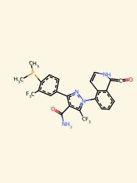 CP(C)c1ccc(-c2nn(-c3cccc4c3C=CNC4=C=O)c(C(F)(F)F)c2C(N)=O)cc1C(F)(F)F